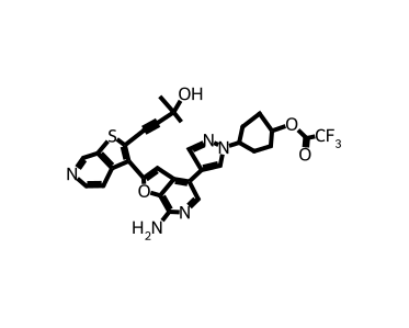 CC(C)(O)C#Cc1sc2cnccc2c1-c1cc2c(-c3cnn(C4CCC(OC(=O)C(F)(F)F)CC4)c3)cnc(N)c2o1